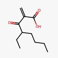 C=C(C(=O)O)C(=O)C(CC)CCCC